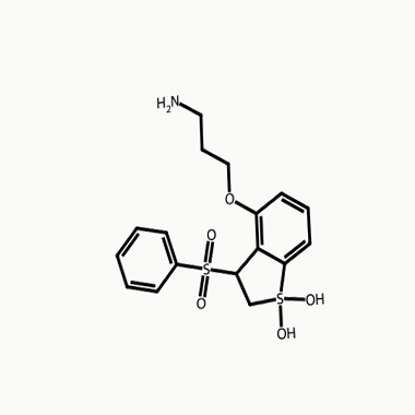 NCCCOc1cccc2c1C(S(=O)(=O)c1ccccc1)CS2(O)O